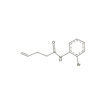 C=CCCC(=O)Nc1ccccc1Br